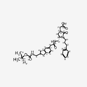 CC(C)(C)OC(=O)NCC1Cc2ccc(CC(=O)NC[C@@H]3C[C@@H](CC(=O)O)C(=O)N3CCCc3ccccc3)cc2C1